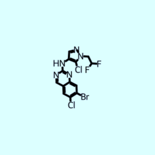 FC(F)Cn1ncc(Nc2ncc3cc(Cl)c(Br)cc3n2)c1Cl